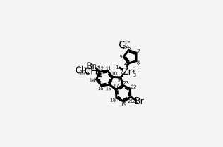 C.[CH3][Zr+2]([CH3])([C]1=CC=CC1)[CH]1c2cc(Br)ccc2-c2ccc(Br)cc21.[Cl-].[Cl-]